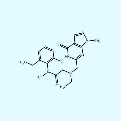 CCc1cccc(Cl)c1N(C)C(=O)CN(CC)Cc1nc2c(cnn2C)c(=O)[nH]1